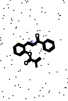 C=C(C)C(=O)Oc1ccccc1/C=C/C(=O)c1ccccc1